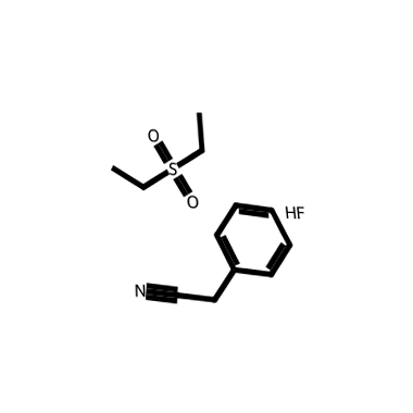 CCS(=O)(=O)CC.F.N#CCc1ccccc1